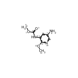 COC(=O)Nc1cc(N)cnc1OC